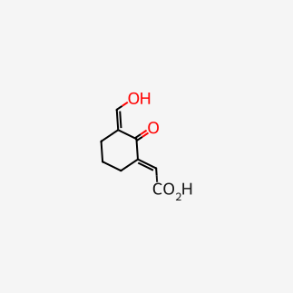 O=C(O)/C=C1\CCC/C(=C/O)C1=O